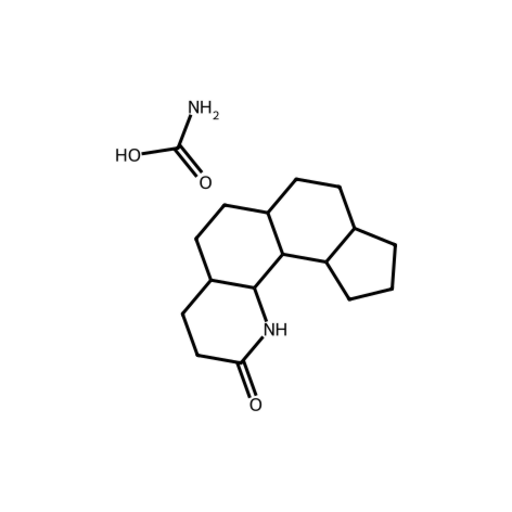 NC(=O)O.O=C1CCC2CCC3CCC4CCCC4C3C2N1